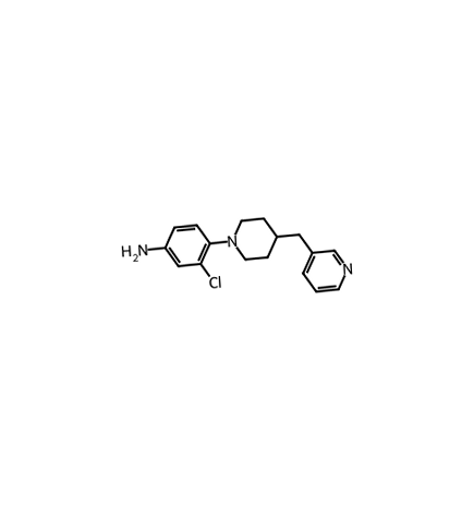 Nc1ccc(N2CCC(Cc3cccnc3)CC2)c(Cl)c1